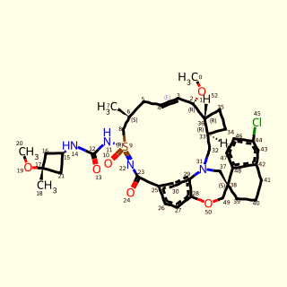 CO[C@H]1/C=C/C[C@H](C)C[S@@](=O)(NC(=O)N[C@H]2C[C@@](C)(OC)C2)=NC(=O)c2ccc3c(c2)N(C[C@@H]2CC[C@H]21)C[C@@]1(CCCc2cc(Cl)ccc21)CO3